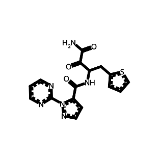 NC(=O)C(=O)C(Cc1cccs1)NC(=O)c1ccnn1-c1ncccn1